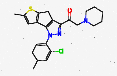 Cc1cc2c(s1)Cc1c(C(=O)CN3CCCCC3)nn(C3=CCC(C)C=C3Cl)c1-2